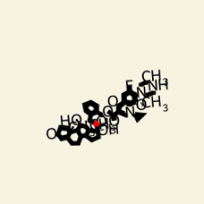 COc1c(N2CCNC(C)C2)c(F)cc2c(=O)c(C(=O)OCc3ccccc3CC(=O)[C@@]3(O)CCC4C5CCC6=CC(=O)C=C[C@]6(C)C5[C@@H](O)C[C@@]43C)cn(C3CC3)c12